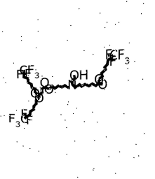 O=C(CCCCCCCN(CCO)CCCCCCOC(=O)CCC(OCCCCCCC(F)(F)C(F)(F)F)OCCCCCCC(F)(F)C(F)(F)F)OCCCCCCC(F)(F)C(F)(F)F